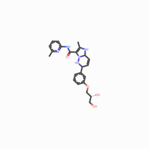 CC1=C(C(=O)Nc2cccc(C)n2)N2NC(c3cccc(OC[C@H](O)CO)c3)C=CC2N1